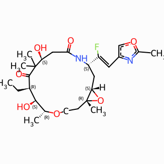 CC[C@H]1C(=O)C(C)(C)[C@@H](O)CC(=O)N[C@H](C(F)=Cc2coc(C)n2)C[C@@H]2O[C@]2(C)CCO[C@H](C)[C@H]1O